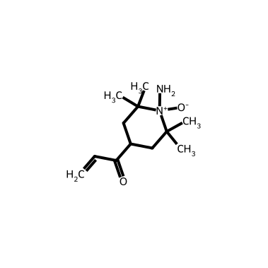 C=CC(=O)C1CC(C)(C)[N+](N)([O-])C(C)(C)C1